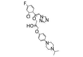 CC(C)N1CCN(c2ccc(OC[C@H](O)CO[C@H](Cn3cncn3)C3C=CC(F)=CC3Cl)cc2)CC1